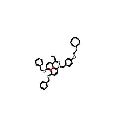 CC/C(=N/N(Cc1ccc(OCCN2CCCCCC2)cc1)c1ccc(OCc2ccccc2)cc1)c1ccc(OCc2ccccc2)cc1